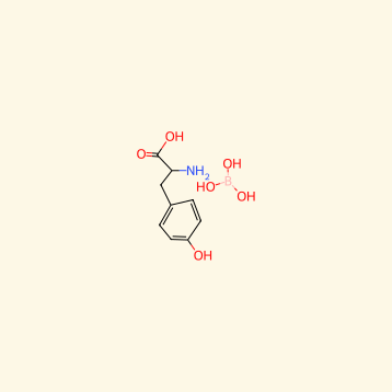 NC(Cc1ccc(O)cc1)C(=O)O.OB(O)O